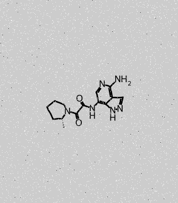 C[C@@H]1CCCCN1C(=O)C(=O)Nc1cnc(N)c2cn[nH]c12